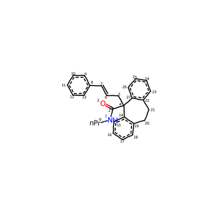 CCCNC(=O)C1(CC=Cc2ccccc2)c2ccccc2CCc2ccccc21